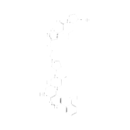 CC(C)[C@@H](C(=O)N1CC[C@@H](O)C1)c1cc(OCCN2CCC(N3C[C@@H]4CNc5nnc(-c6ccccc6O)cc5N4C[C@@H]3C)C2)no1